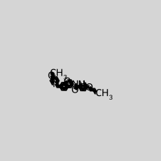 CCCCOc1ccc(C(=O)N[C@H]2COc3cc(CN4CCC(OC)CC4)ccc3C2)nc1